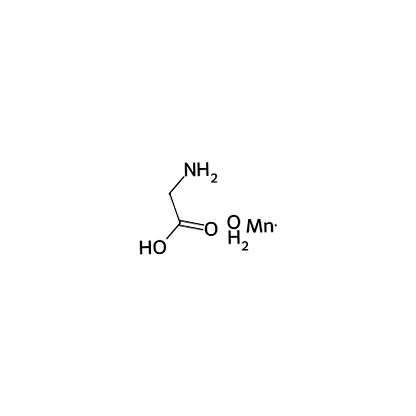 NCC(=O)O.O.[Mn]